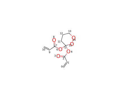 C=CC(=O)OC1(OC(=O)C=C)CCCOO1